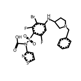 O=C(O)N(c1ccsn1)S(=O)(=O)c1c(F)cc(NC2CCN(Cc3ccccc3)C2)c(Br)c1F